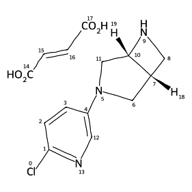 Clc1ccc(N2C[C@H]3CN[C@H]3C2)cn1.O=C(O)/C=C/C(=O)O